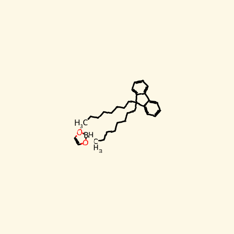 B1OC=CO1.CCCCCCCCC1(CCCCCCCC)c2ccccc2-c2ccccc21